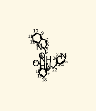 O=C(NOCc1ccc2ccccc2n1)c1ccccc1NCc1ccncc1